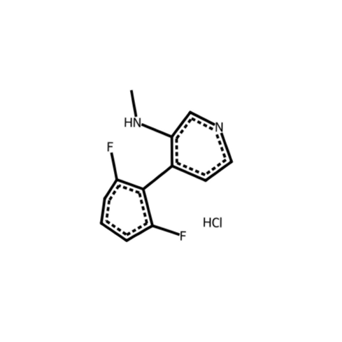 CNc1cnccc1-c1c(F)cccc1F.Cl